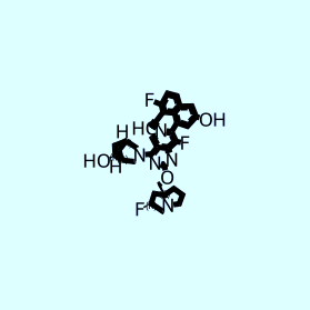 C#Cc1c(F)ccc2cc(O)cc(-c3ncc4c(N5C[C@@H]6C[C@H](C5)[C@H](O)C6)nc(OC[C@@]56CCCN5C[C@H](F)C6)nc4c3F)c12